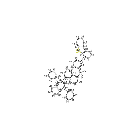 CC1(C)c2cc(-c3cccc4c3sc3ccccc34)ccc2-c2ccc3c4c(ccc1c24)-c1c-3c(-c2ccccc2)c2ccccc2c1-c1ccccc1